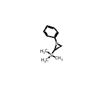 C[Si](C)(C)C1CN1c1ccccc1